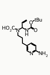 C=CC(NC(=O)OC(C)(C)C)N(CCCc1ccc(N)nc1)C(=O)O